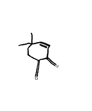 CC1(C)C=CC(=O)C(=O)C1